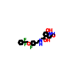 O=c1ccc2c([C@H](O)CNCCc3ccc(OCC(F)(F)c4ccccc4)c(F)c3)ccc(O)c2[nH]1